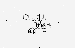 CC(NC(=O)OCc1ccccc1)c1nc(-c2ccncn2)cc(=O)n1C